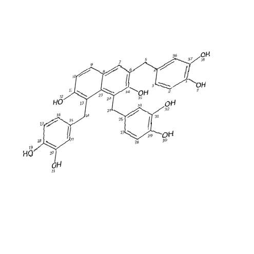 Oc1ccc(Cc2cc3ccc(O)c(Cc4ccc(O)c(O)c4)c3c(Cc3ccc(O)c(O)c3)c2O)cc1O